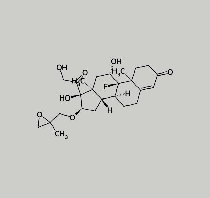 CC1(CO[C@@H]2C[C@H]3[C@@H]4CCC5=CC(=O)CC[C@]5(C)[C@@]4(F)[C@@H](O)C[C@]3(C)[C@@]2(O)C(=O)CO)CO1